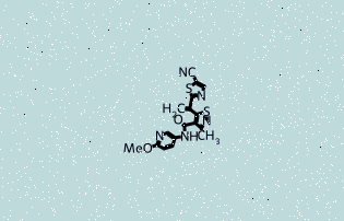 C=C(c1ncc(C#N)s1)c1snc(C)c1C(=O)Nc1ccc(OC)nc1